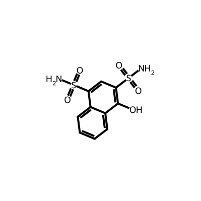 NS(=O)(=O)c1cc(S(N)(=O)=O)c2ccccc2c1O